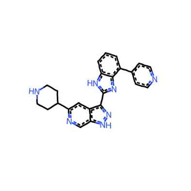 c1cc(-c2ccncc2)c2nc(-c3n[nH]c4cnc(C5CCNCC5)cc34)[nH]c2c1